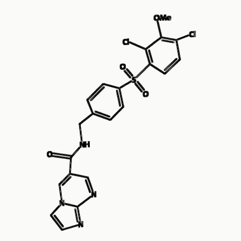 COc1c(Cl)ccc(S(=O)(=O)c2ccc(CNC(=O)c3cnc4nccn4c3)cc2)c1Cl